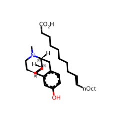 CCCCCCCCC=CCCCCCCCC(=O)O.CN1CC[C@]23CCCC[C@H]2[C@H]1Cc1ccc(O)cc13